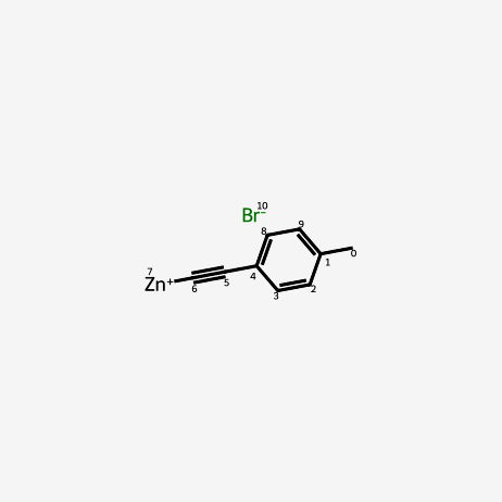 Cc1ccc(C#[C][Zn+])cc1.[Br-]